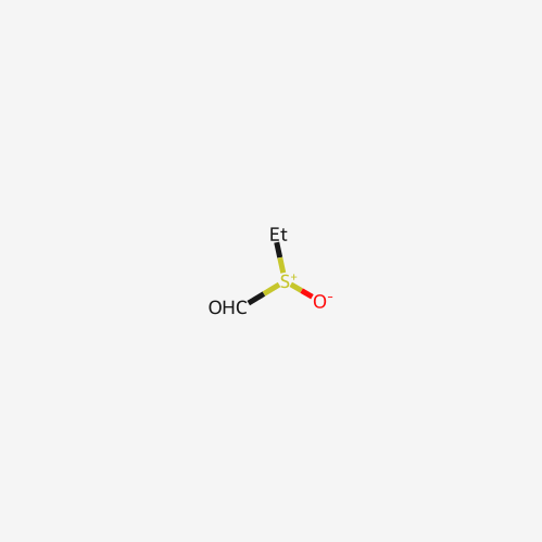 CC[S+]([O-])C=O